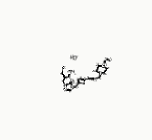 Cl.NC/C(=C\F)Cn1ncn(Cc2ccc(C#CCN3CCS(=S=O)CC3)s2)c1=O